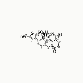 CCCc1cc(-c2ccc(Cn3c(=O)ccc4c(CC)nc(CC)cc43)cc2C)c(S(=O)(=O)O)s1